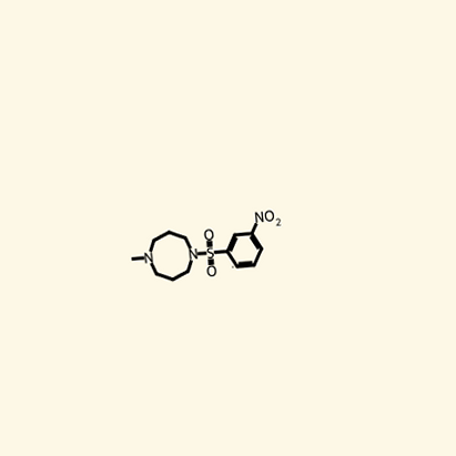 CN1CCCN(S(=O)(=O)c2[c]ccc([N+](=O)[O-])c2)CCC1